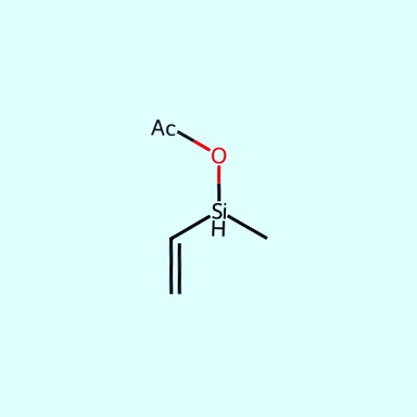 C=C[SiH](C)OC(C)=O